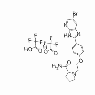 NC(=O)C1CCCN1CCOc1ccc(-c2nc3cc(Br)cnc3[nH]2)cc1.O=C(O)C(F)(F)F.O=C(O)C(F)(F)F